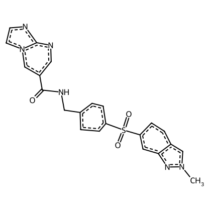 Cn1cc2ccc(S(=O)(=O)c3ccc(CNC(=O)c4cnc5nccn5c4)cc3)cc2n1